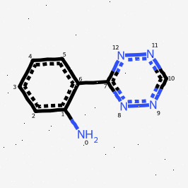 Nc1ccccc1-c1nncnn1